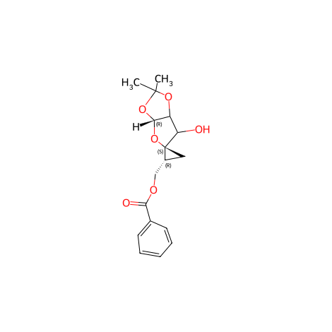 CC1(C)OC2C(O)[C@@]3(C[C@@H]3COC(=O)c3ccccc3)O[C@@H]2O1